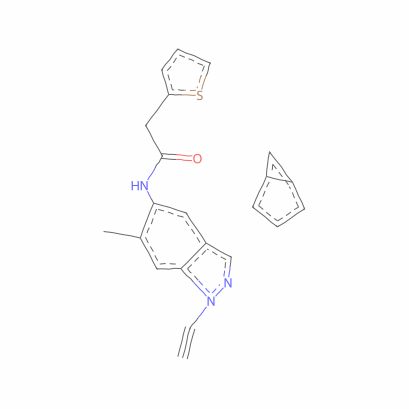 C#Cn1ncc2cc(NC(=O)Cc3cccs3)c(C)cc21.c1cc2cc-2c1